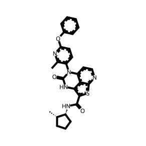 Cc1nc(Oc2ccccc2)ccc1N1C(=O)Nc2c(C(=O)N[C@@H]3CCC[C@@H]3C)sc3nccc1c23